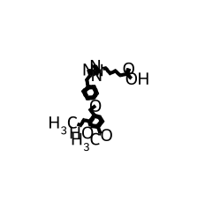 CCCc1c(COc2ccc(Cc3nnn(CCCCC(=O)O)n3)cc2)ccc(C(C)=O)c1O